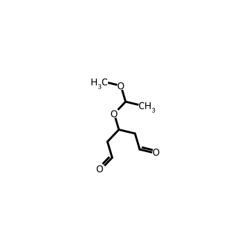 COC(C)OC(CC=O)CC=O